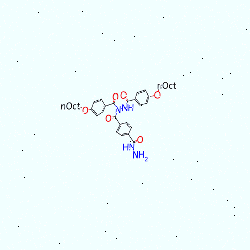 CCCCCCCCOc1ccc(C(=O)NN(C(=O)c2ccc(OCCCCCCCC)cc2)C(=O)c2ccc(C(=O)NN)cc2)cc1